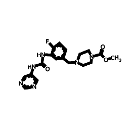 COC(=O)N1CCN(Cc2ccc(F)c(NC(=O)Nc3cncnc3)c2)CC1